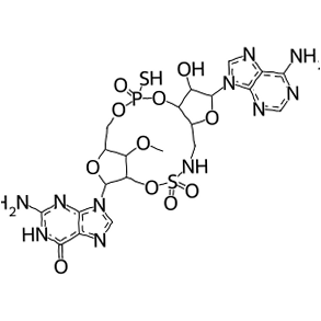 COC1C2COP(=O)(S)OC3C(CNS(=O)(=O)OC1C(n1cnc4c(=O)[nH]c(N)nc41)O2)OC(n1cnc2c(N)ncnc21)C3O